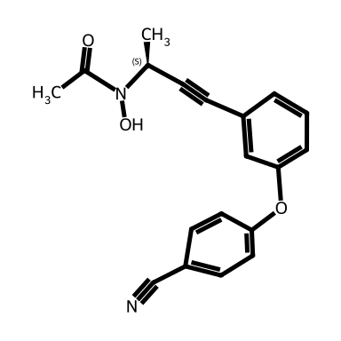 CC(=O)N(O)[C@@H](C)C#Cc1cccc(Oc2ccc(C#N)cc2)c1